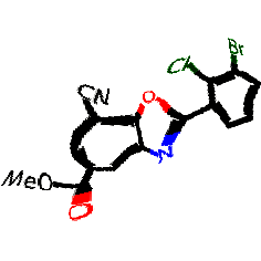 COC(=O)c1cc(C#N)c2oc(-c3cccc(Br)c3Cl)nc2c1